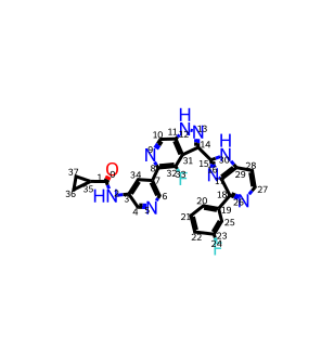 O=C(Nc1cncc(-c2ncc3[nH]nc(-c4nc5c(-c6cccc(F)c6)nccc5[nH]4)c3c2F)c1)C1CC1